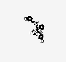 COc1ccc([C@H]2Sc3ccccc3N(CC[N+](C)(C)CCc3cccc(OC)c3)C(=O)[C@H]2OC(C)=O)cc1.[I-]